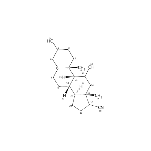 C[C@]12CCC(O)CC1CC[C@@H]1[C@H]2C(O)C[C@]2(C)C(C#N)CC[C@@H]12